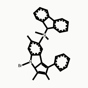 CC1=C(C)C2C(=C1c1ccccc1)c1cc([Si](C)(C)C3c4ccccc4-c4ccccc43)c(C)cc1N2Br